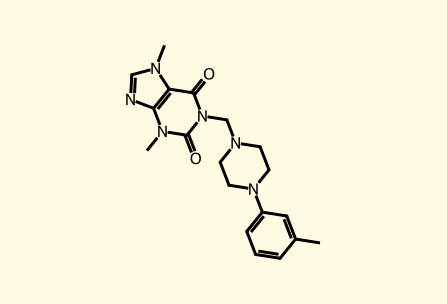 Cc1cccc(N2CCN(Cn3c(=O)c4c(ncn4C)n(C)c3=O)CC2)c1